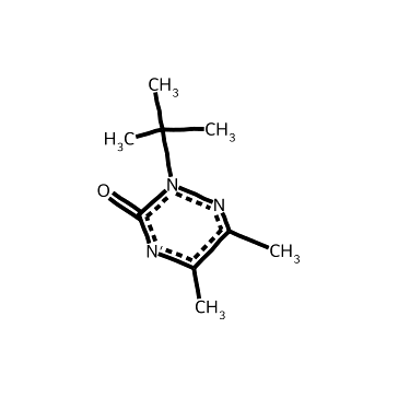 Cc1nc(=O)n(C(C)(C)C)nc1C